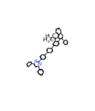 CC1(C)c2cc(-c3ccc(-c4ccc(-c5nc(-c6ccccc6)cc(-c6ccccc6)n5)cc4)cc3)ccc2-c2c(-c3ccccc3)cc3ccccc3c21